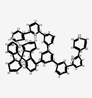 c1cc(-c2cc(-c3cccc(-c4cccc(-c5ccncc5)n4)c3)cc(-c3cccc4c3-c3ccccc3C43c4ccccc4-c4ccccc43)c2)cc(-c2cccc(-c3ccncc3)n2)c1